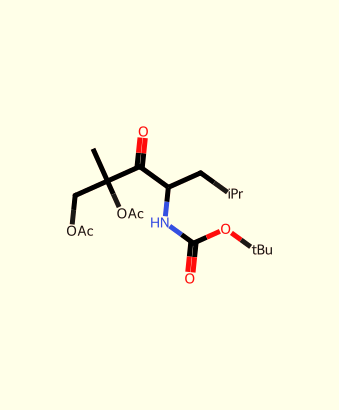 CC(=O)OCC(C)(OC(C)=O)C(=O)C(CC(C)C)NC(=O)OC(C)(C)C